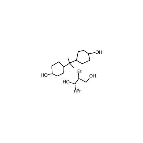 CC(C)(C1CCC(O)CC1)C1CCC(O)CC1.CCCC(O)C(CC)CO